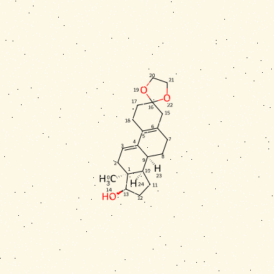 C[C@]12CC=C3C4=C(CC[C@H]3[C@H]1CC[C@H]2O)CC1(CC4)OCCO1